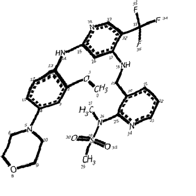 COc1cc(N2CCOCC2)ccc1Nc1cc(NCc2cccnc2N(C)S(C)(=O)=O)c(C(F)(F)F)cn1